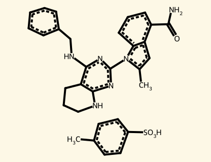 Cc1cc2c(C(N)=O)cccc2n1-c1nc2c(c(NCc3ccccc3)n1)CCCN2.Cc1ccc(S(=O)(=O)O)cc1